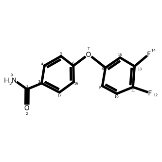 NC(=O)c1ccc(Oc2ccc(F)c(F)c2)cc1